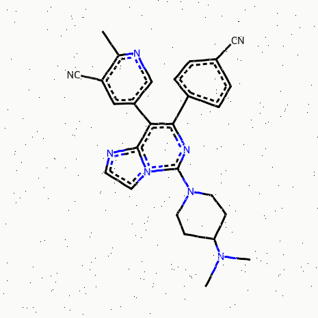 Cc1ncc(-c2c(-c3ccc(C#N)cc3)nc(N3CCC(N(C)C)CC3)n3ccnc23)cc1C#N